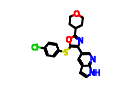 Clc1ccc(Sc2oc(C3CCOCC3)nc2-c2cnc3[nH]ccc3c2)cc1